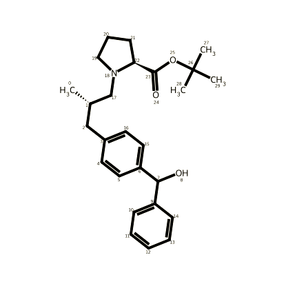 C[C@@H](Cc1ccc(C(O)c2ccccc2)cc1)CN1CCC[C@H]1C(=O)OC(C)(C)C